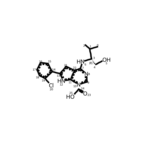 CC(C)[C@H](CO)Nc1ncnc2[nH]c(-c3ccccc3Cl)cc12.O=CO